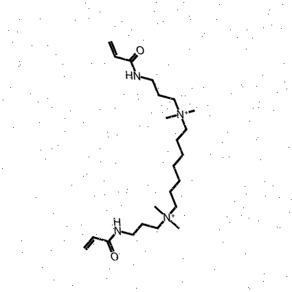 C=CC(=O)NCCC[N+](C)(C)CCCCCCC[N+](C)(C)CCCNC(=O)C=C